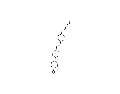 CCCCCC1CCC(CCC2CCC(C3CCC(OC)CC3)CC2)CC1